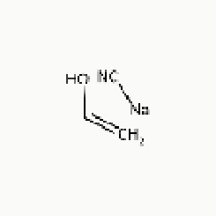 C=CO.N#[C][Na]